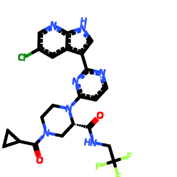 O=C(NCC(F)(F)F)[C@@H]1CN(C(=O)C2CC2)CCN1c1ccnc(-c2c[nH]c3ncc(Cl)cc23)n1